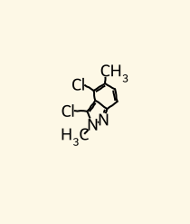 Cc1ccc2nn(C)c(Cl)c2c1Cl